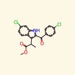 COC(=O)C(C)c1c(C(=O)c2ccc(Cl)cc2)[nH]c2cc(Cl)ccc12